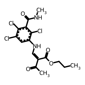 CCCOC(=O)C(=CNc1cc(Cl)c(Cl)c(C(=O)NC)c1Cl)C(C)=O